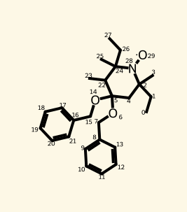 CCC1(C)CC(OCc2ccccc2)(OCc2ccccc2)C(C)C(C)(CC)N1[O]